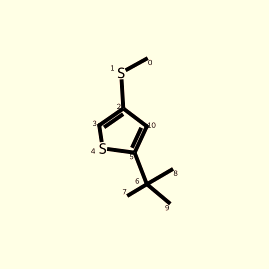 CSc1csc(C(C)(C)C)c1